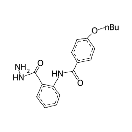 CCCCOc1ccc(C(=O)Nc2ccccc2C(=O)NN)cc1